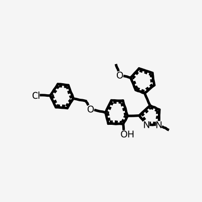 COc1cccc(-c2cn(C)nc2-c2ccc(OCc3ccc(Cl)cc3)cc2O)c1